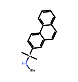 CC(C)(C)N[Si](C)(C)c1ccc2c(ccc3ccccc32)c1